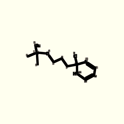 CC(C)(C)[Si](C)(C)OCCCC1(Cl)N=CC=CN1